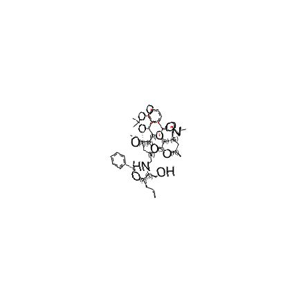 C=CC[C@@H](OCc1ccccc1)[C@H](CO)NC[C@H](C)C[C@@](C)(OC)[C@H](O[C@@H]1O[C@H](C)C[C@H](N(C)C)[C@H]1OC(=O)c1ccccc1)[C@@H](C)C1=C(C)C(=O)OC(C)(C)O1